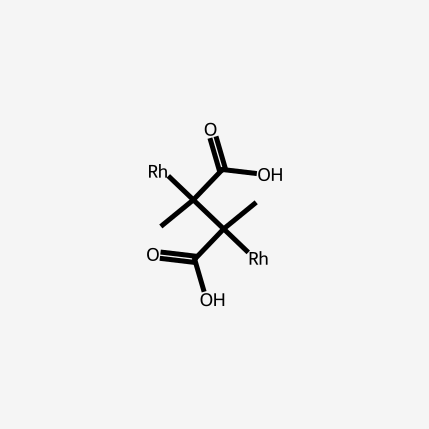 C[C]([Rh])(C(=O)O)[C](C)([Rh])C(=O)O